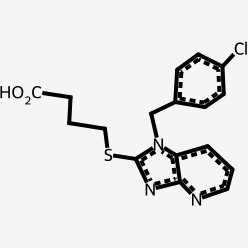 O=C(O)CCCSc1nc2ncccc2n1Cc1ccc(Cl)cc1